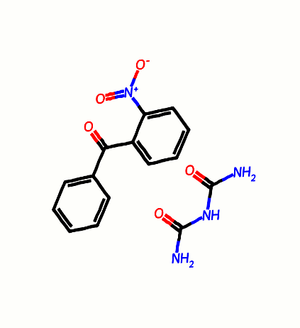 NC(=O)NC(N)=O.O=C(c1ccccc1)c1ccccc1[N+](=O)[O-]